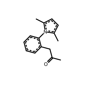 CC(=O)Cc1ccccc1-n1c(C)ccc1C